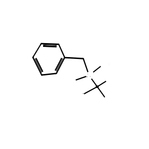 CC(Cl)(Cl)[N+](C)(C)Cc1ccccc1.[Cl-]